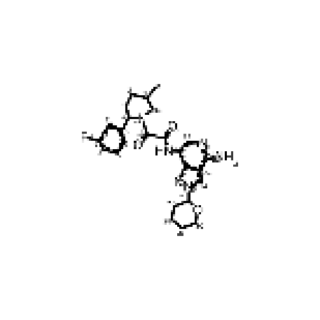 CC1CCC(c2cccc(F)c2)N(C(=O)C(=O)Nc2cnc(N)c3cn(C4CCCCO4)nc23)C1